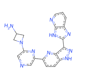 NC1CN(c2cncc(-c3ccc4[nH]nc(-c5nc6cccnc6[nH]5)c4n3)n2)C1